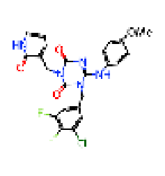 COc1ccc(Nc2nc(=O)n(Cc3ccc[nH]c3=O)c(=O)n2Cc2cc(F)c(F)c(Cl)c2)cc1